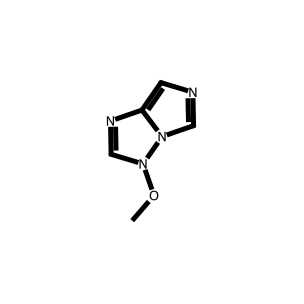 COn1cnc2cncn21